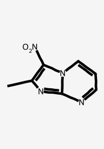 Cc1nc2ncccn2c1[N+](=O)[O-]